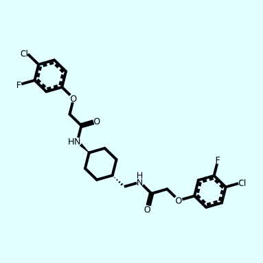 O=C(COc1ccc(Cl)c(F)c1)NC[C@H]1CC[C@H](NC(=O)COc2ccc(Cl)c(F)c2)CC1